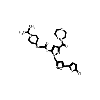 CC(C)N1CCC(NC(=O)Oc2cc(C(=O)N3CCCOCC3)nn2Cc2cc(-c3ccc(Cl)s3)on2)CC1